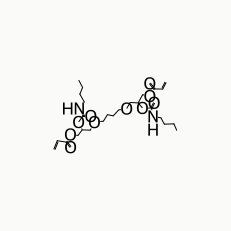 C=CC(=O)OCC(COCCCCOCC(COC(=O)C=C)OC(=O)NCCCC)OC(=O)NCCCC